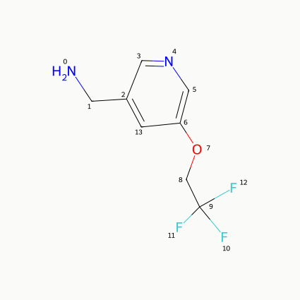 NCc1cncc(OCC(F)(F)F)c1